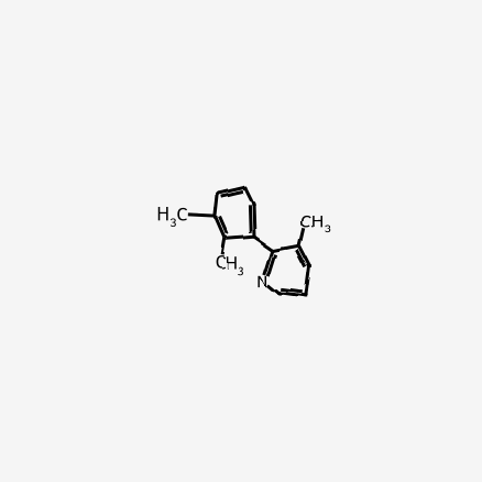 Cc1cccnc1-c1cccc(C)c1C